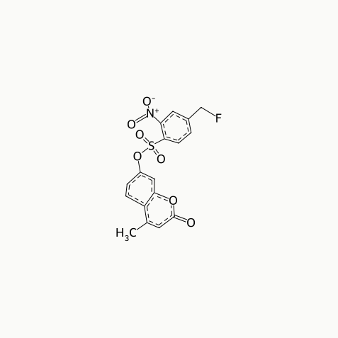 Cc1cc(=O)oc2cc(OS(=O)(=O)c3ccc(CF)cc3[N+](=O)[O-])ccc12